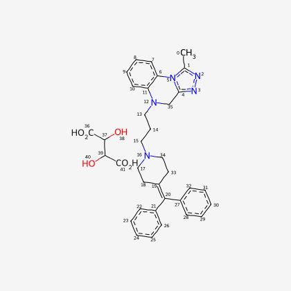 Cc1nnc2n1-c1ccccc1N(CCCN1CCC(=C(c3ccccc3)c3ccccc3)CC1)C2.O=C(O)C(O)C(O)C(=O)O